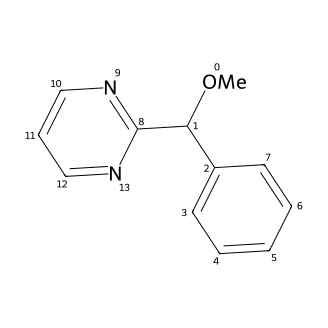 COC(c1ccccc1)c1ncccn1